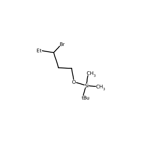 CCC(Br)CCO[Si](C)(C)C(C)(C)C